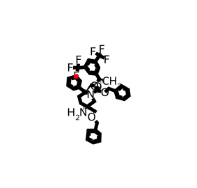 C[C@@H](OC[C@]1(c2ccccc2)CC[C@](N)(COCc2ccccc2)CN1C(=O)OCc1ccccc1)c1cc(C(F)(F)F)cc(C(F)(F)F)c1